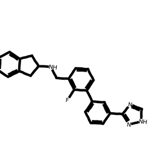 Fc1c(CNC2Cc3ccccc3C2)cccc1-c1cccc(-c2nc[nH]n2)c1